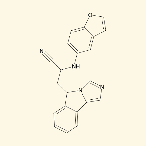 N#CC(CC1c2ccccc2-c2cncn21)Nc1ccc2occc2c1